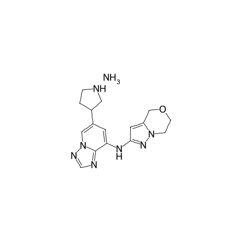 N.c1nc2c(Nc3cc4n(n3)CCOC4)cc(C3CCNC3)cn2n1